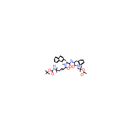 CC(=O)OC(C)(C)CNC(=O)C(Cc1ccccc1)N(C)C(=O)[C@@H](Cc1ccc2ccccc2c1)N(C)C(=O)/C=C/CC(C)(C)NC(=O)OC(C)(C)C